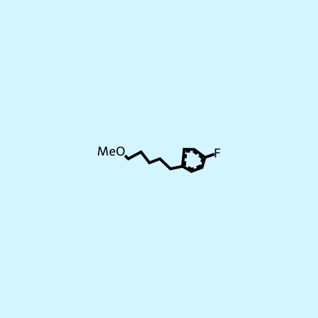 COCCCCCc1ccc(F)cc1